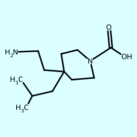 CC(C)CC1(CCN)CCN(C(=O)O)CC1